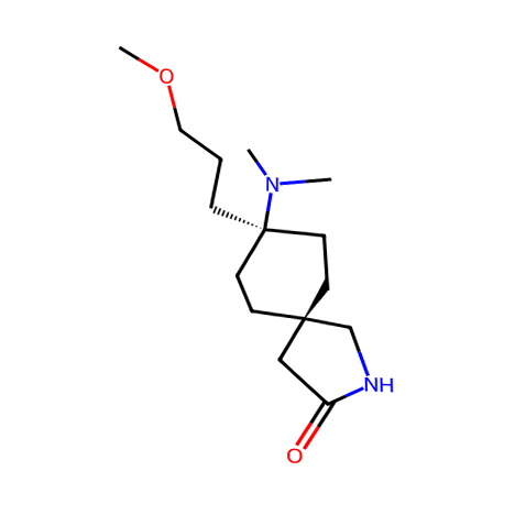 COCCC[C@]1(N(C)C)CC[C@@]2(CC1)CNC(=O)C2